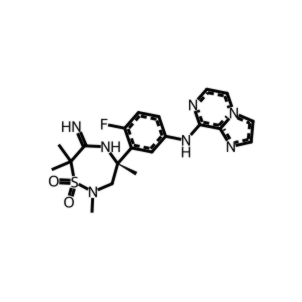 CN1C[C@@](C)(c2cc(Nc3nccn4ccnc34)ccc2F)NC(=N)C(C)(C)S1(=O)=O